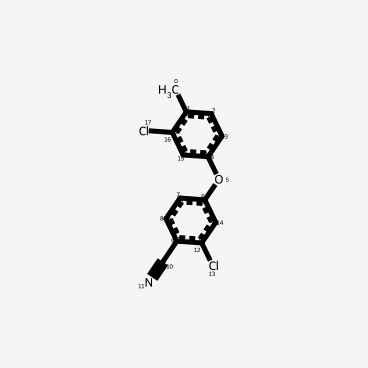 Cc1ccc(Oc2ccc(C#N)c(Cl)c2)cc1Cl